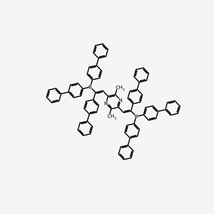 Cc1nc(C=C(B(c2ccc(-c3ccccc3)cc2)c2ccc(-c3ccccc3)cc2)c2ccc(-c3ccccc3)cc2)c(C)nc1C=C(B(c1ccc(-c2ccccc2)cc1)c1ccc(-c2ccccc2)cc1)c1ccc(-c2ccccc2)cc1